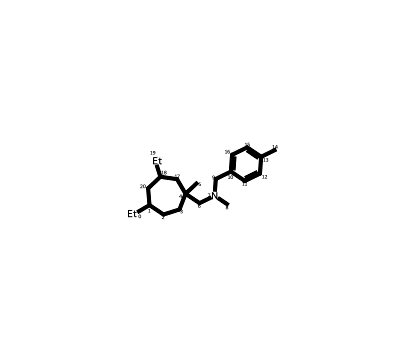 CCC1CCC(C)(CN(C)Cc2ccc(C)cc2)CC(CC)C1